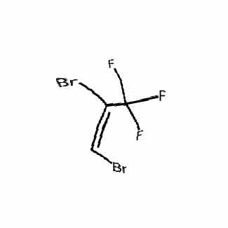 FC(F)(F)/C(Br)=C\Br